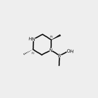 CB(O)N1C[C@H](C)NC[C@H]1C